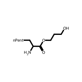 CCCCCCC(N)C(=O)OCCCO